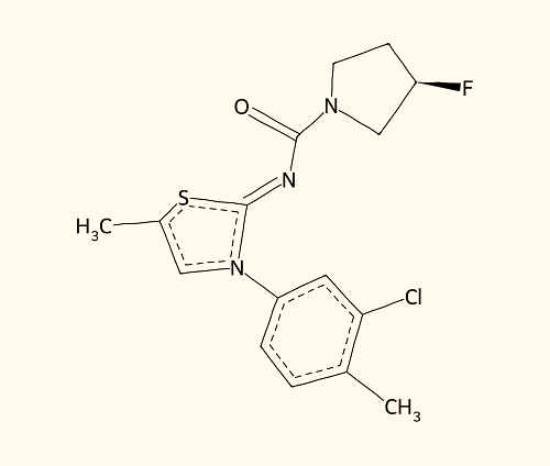 Cc1cn(-c2ccc(C)c(Cl)c2)c(=NC(=O)N2CC[C@@H](F)C2)s1